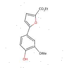 CCOC(=O)c1ccc(-c2ccc(O)c(OC)c2)o1